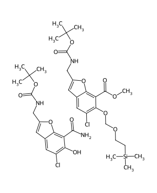 CC(C)(C)OC(=O)NCc1cc2cc(Cl)c(O)c(C(N)=O)c2o1.COC(=O)c1c(OCOCC[Si](C)(C)C)c(Cl)cc2cc(CNC(=O)OC(C)(C)C)oc12